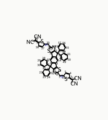 N#CC(C#N)=c1cc/c(=C\c2nc3c(s2)-c2cc4c(cc2C3(c2ccccc2)c2ccccc2)-c2sc(/C=c3\ccc(=C(C#N)C#N)s3)nc2C4(c2ccccc2)c2ccccc2)s1